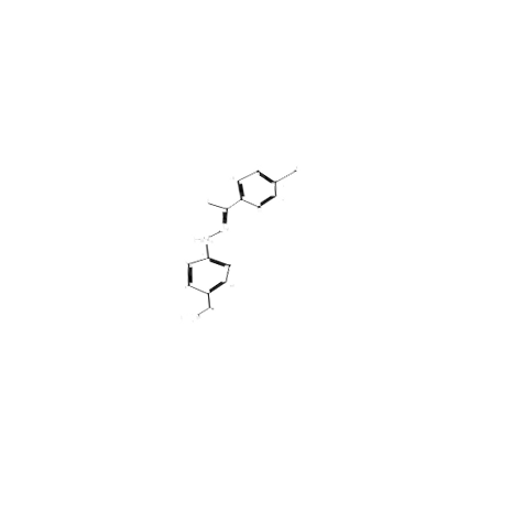 C/C(=N\Nc1ccc(CO)cc1)c1ccc(C)cc1